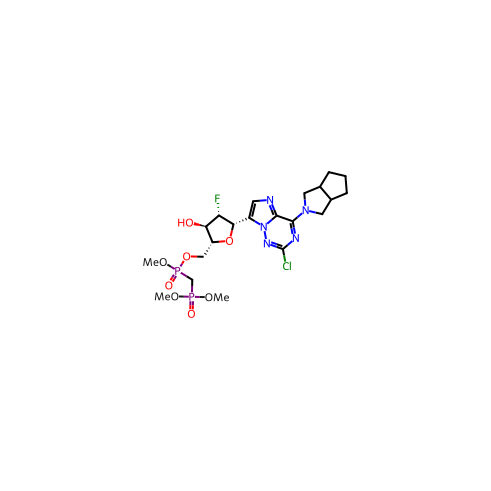 COP(=O)(CP(=O)(OC)OC[C@H]1O[C@@H](c2cnc3c(N4CC5CCCC5C4)nc(Cl)nn23)[C@@H](F)[C@@H]1O)OC